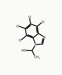 CC(O)n1cnc2c(Cl)c(Cl)c(Cl)c(Cl)c21